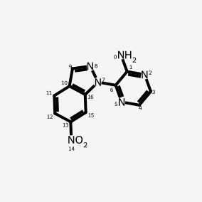 Nc1nccnc1-n1ncc2ccc([N+](=O)[O-])cc21